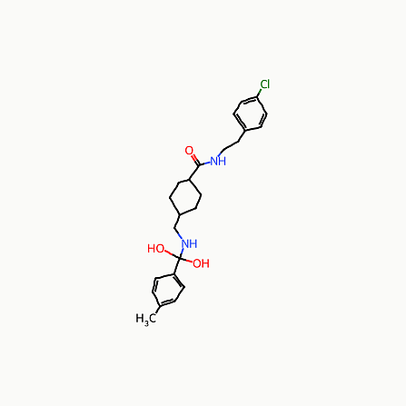 Cc1ccc(C(O)(O)NCC2CCC(C(=O)NCCc3ccc(Cl)cc3)CC2)cc1